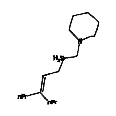 CCCC(=CC[SiH2]CN1CCCCC1)CCC